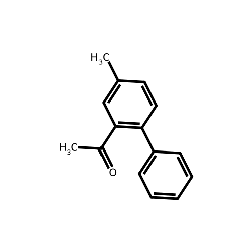 CC(=O)c1cc(C)ccc1-c1ccccc1